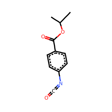 CC(C)OC(=O)c1ccc(N=C=O)cc1